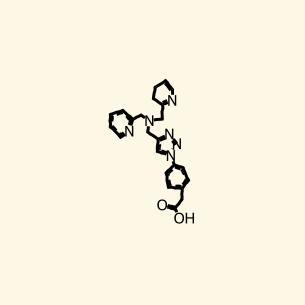 O=C(O)Cc1ccc(-n2cc(CN(CC3=NC=CCC3)Cc3ccccn3)nn2)cc1